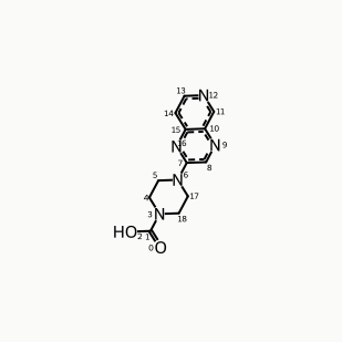 O=C(O)N1CCN(c2cnc3cnccc3n2)CC1